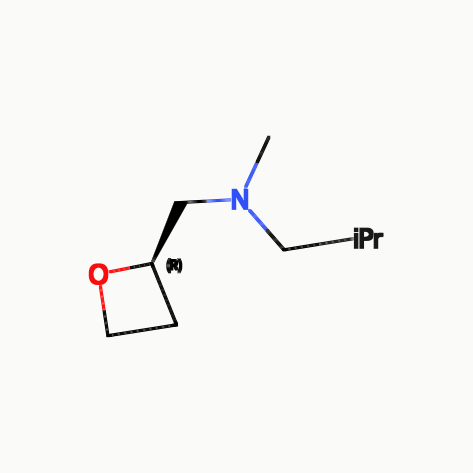 CC(C)CN(C)C[C@H]1CCO1